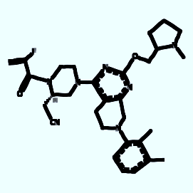 C=C(F)C(=O)N1CCN(c2nc(OCC3CCCN3C)nc3c2CCN(c2cccc(C)c2C)C3)C[C@@H]1CC#N